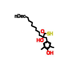 CCCCCCCCCCCCCCCCCCC(O)(Cc1cc(C)c(O)c(C)c1)C(=O)S